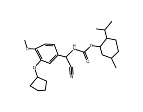 COc1ccc(C(C#N)NC(=O)OC2CC(C)CCC2C(C)C)cc1OC1CCCC1